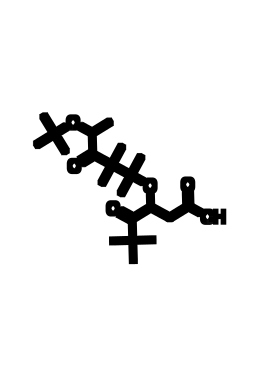 CC(OC(C)(C)C)C(=O)C(C)(C)C(C)(C)OC(CC(=O)O)C(=O)C(C)(C)C